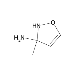 CC1(N)C=CON1